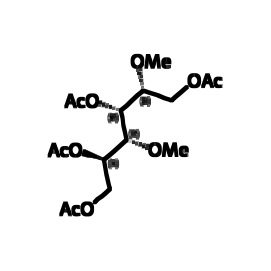 CO[C@@H]([C@H](OC(C)=O)[C@@H](COC(C)=O)OC)[C@@H](COC(C)=O)OC(C)=O